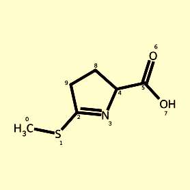 CSC1=NC(C(=O)O)CC1